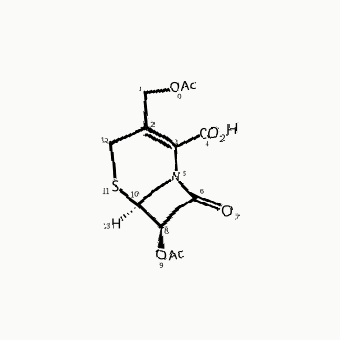 CC(=O)OCC1=C(C(=O)O)N2C(=O)[C@@H](OC(C)=O)[C@H]2SC1